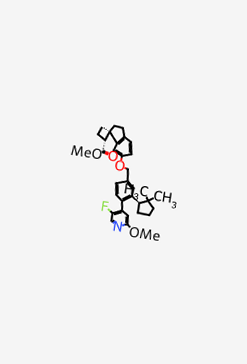 COC(=O)[C@@H]1CC[C@@]12CCc1ccc(OCc3ccc(-c4cc(OC)ncc4F)c([C@@H]4CCCC4(C)C)c3)cc12